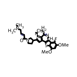 C=Nn1c(C2CCN(C(=O)/C=C/CN(C)C)C2)cc(-c2cc3c(F)c(OC)cc(OC)c3s2)c1/C(N)=N\C